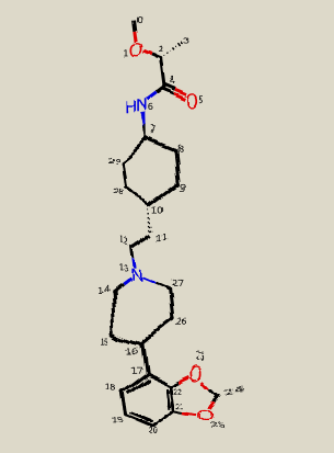 CO[C@H](C)C(=O)N[C@H]1CC[C@H](CCN2CCC(c3cccc4c3OCO4)CC2)CC1